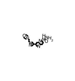 NC(=O)Nc1ccc2ncc(-c3cnn(CCN4CCOCC4)c3)cc2n1